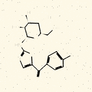 O=C(c1ccc([N+](=O)[O-])cc1)c1cnc(N[C@@H]2O[C@H](CO)[C@@H](O)[C@H](O)[C@@H]2O)s1